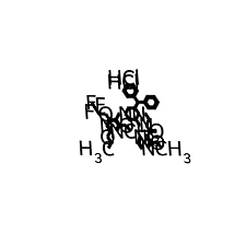 CCOc1nc(OC)c(CN2CC3CN(C(=O)c4nccnc4OC)CCN3C(C(c3ccccc3)c3ccccc3)C2)c(OCC(F)(F)F)n1.Cl.Cl